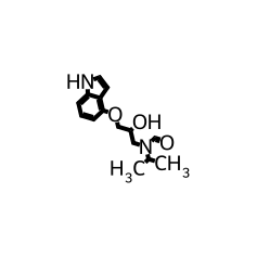 CC(C)N(C=O)CC(O)COc1cccc2[nH]ccc12